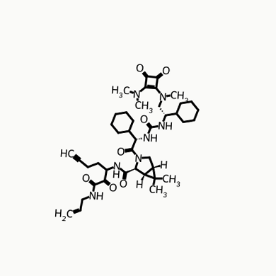 C#CCCC(NC(=O)[C@@H]1[C@@H]2[C@H](CN1C(=O)[C@@H](NC(=O)N[C@H](CN(C)c1c(N(C)C)c(=O)c1=O)C1CCCCC1)C1CCCCC1)C2(C)C)C(=O)C(=O)NCC=C